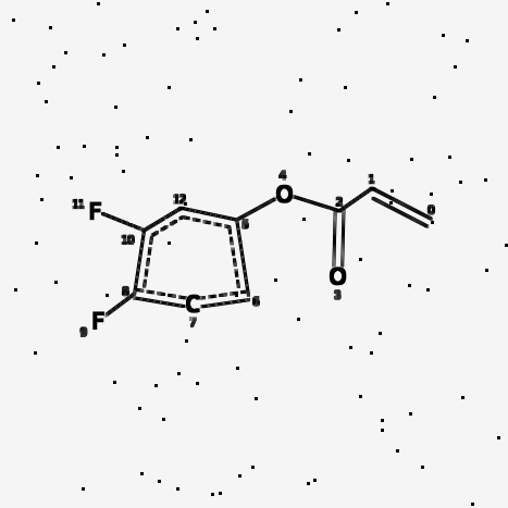 C=CC(=O)Oc1ccc(F)c(F)c1